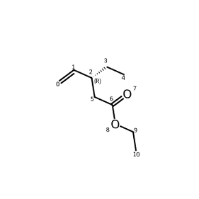 C=C[C@H](CC)CC(=O)OCC